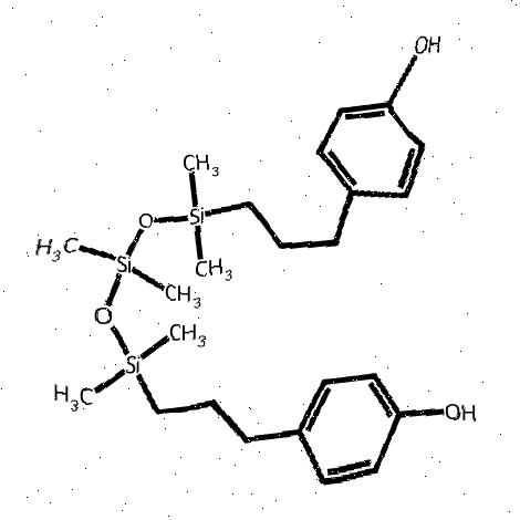 C[Si](C)(CCCc1ccc(O)cc1)O[Si](C)(C)O[Si](C)(C)CCCc1ccc(O)cc1